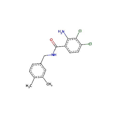 Cc1ccc(CNC(=O)c2ccc(Cl)c(Cl)c2N)cc1C